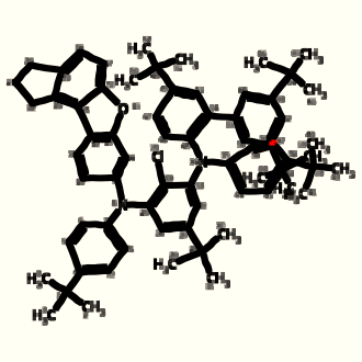 CC(C)(C)c1ccc(N(c2ccc3c(c2)oc2ccc4c(c23)CCC4)c2cc(C(C)(C)C)cc(N(c3ccc(C(C)(C)C)cc3)c3ccc(C(C)(C)C)cc3-c3cc(C(C)(C)C)cc(C(C)(C)C)c3)c2Cl)cc1